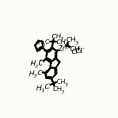 C[C](C)=[Zr+2][c]1c2c(c(C)c(C3=CC=CC3)c1C(C)(C)C)-c1c(C)cc(C(C)(C)C)cc1C2.[Cl-].[Cl-]